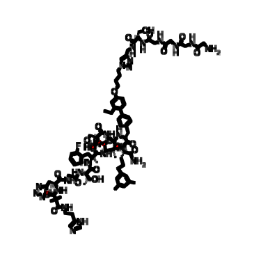 CCc1cc(OCCCCn2cc(CNC(=O)[C@H](CO)NC(=O)CNC(=O)CNC(=O)CNC(=O)CN)nn2)ccc1-c1ccc(C[C@H](NC(=O)[C@H](CC(=O)O)NC(=O)[C@H](CO)NC(=O)[C@@H](NC(=O)[C@](C)(Cc2ccccc2F)NC(=O)[C@@H](NC(=O)CNC(=O)[C@H](Cc2nnn[nH]2)NC(=O)C(C)(C)C(=O)NCCc2cnc[nH]2)[C@@H](C)O)[C@@H](C)O)C(=O)N[C@@H](CCCc2cc(C)cc(C)c2)C(N)=O)cc1